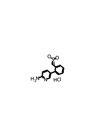 Cl.Nc1ccc(-c2ccccc2C[SH](=O)=O)cn1